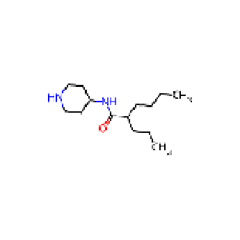 CCCCC(CCC)C(=O)NC1CCNCC1